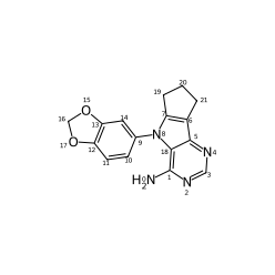 Nc1ncnc2c3c(n(-c4ccc5c(c4)OCO5)c12)CCC3